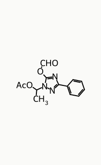 CC(=O)OC(C)n1nc(-c2ccccc2)nc1OC=O